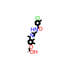 Cc1cc(C(=O)NCC2CN(C(C)c3ccc(OC[C@@H](C)O)c(C)c3C)C2)ccc1Cl